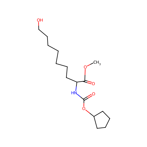 COC(=O)C(CCCCCCCO)NC(=O)OC1CCCC1